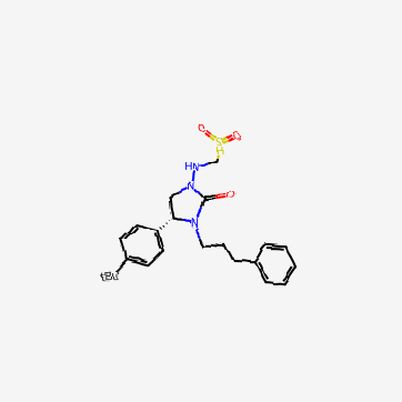 CC(C)(C)c1ccc([C@@H]2CN(NC[SH](=O)=O)C(=O)N2CCCc2ccccc2)cc1